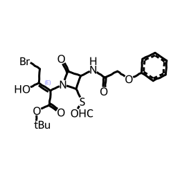 CC(C)(C)OC(=O)/C(=C(\O)CBr)N1C(=O)C(NC(=O)COc2ccccc2)C1SC=O